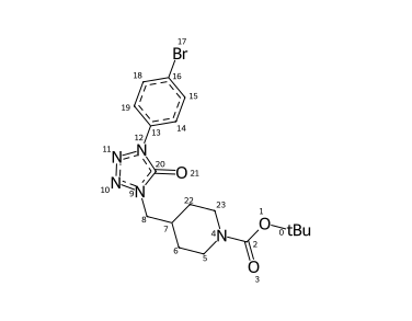 CC(C)(C)OC(=O)N1CCC(Cn2nnn(-c3ccc(Br)cc3)c2=O)CC1